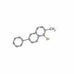 [CH2]c1ccc2cc(-c3ccccc3)ccc2c1Br